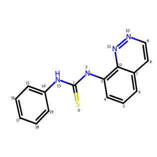 S=C([N]c1cccc2ccnnc12)Nc1ccccc1